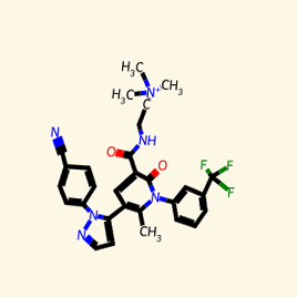 Cc1c(-c2ccnn2-c2ccc(C#N)cc2)cc(C(=O)NCC[N+](C)(C)C)c(=O)n1-c1cccc(C(F)(F)F)c1